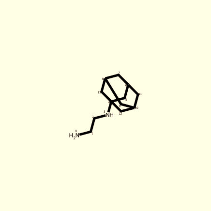 NCCNC12CC3CC(CC(C3)C1)C2